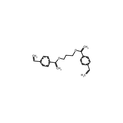 C=Cc1ccc(C(=C)OCCCOC(=C)c2ccc(C=C)cc2)cc1